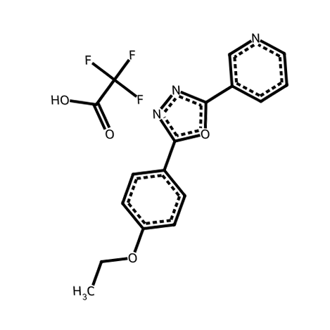 CCOc1ccc(-c2nnc(-c3cccnc3)o2)cc1.O=C(O)C(F)(F)F